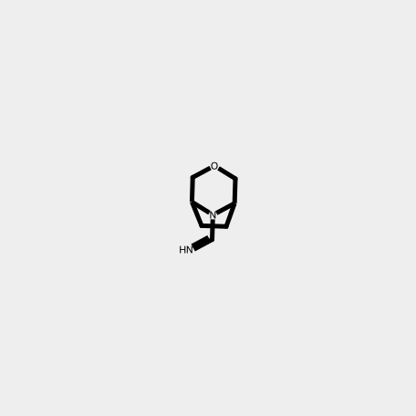 N=CN1C2CCC1COC2